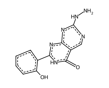 NNc1ncc2c(=O)[nH]c(-c3ccccc3O)nc2n1